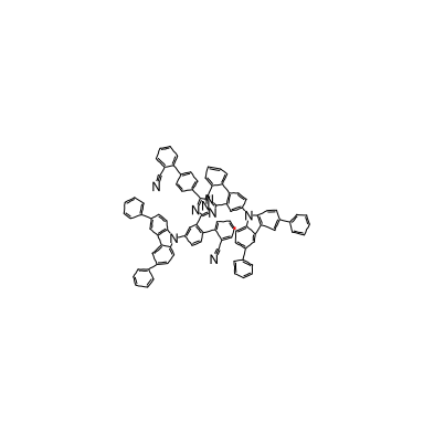 N#Cc1ccccc1-c1ccc(-c2nc(-c3cc(-n4c5ccc(-c6ccccc6)cc5c5cc(-c6ccccc6)ccc54)ccc3-c3ccccc3C#N)nc(-c3cc(-n4c5ccc(-c6ccccc6)cc5c5cc(-c6ccccc6)ccc54)ccc3-c3ccccc3C#N)n2)cc1